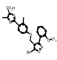 Cc1cc(OCc2c(-c3ccccc3OC(F)(F)F)noc2C(C)C)ccc1-c1nc(C)c(C(=O)O)s1